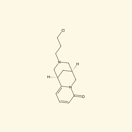 O=c1cccc2n1C[C@H]1C[C@@H]2CN(CCCCl)C1